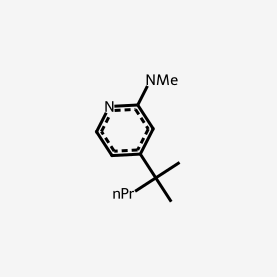 CCCC(C)(C)c1ccnc(NC)c1